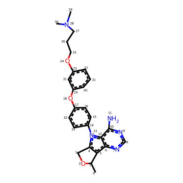 CC1OCc2c1c1ncnc(N)c1n2-c1ccc(Oc2cccc(OCCCN(C)C)c2)cc1